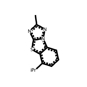 Cc1nc2sc3c(C(C)C)cccc3n2n1